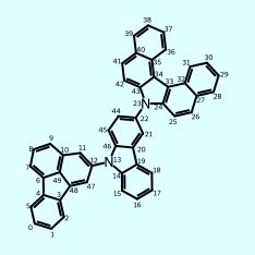 c1ccc2c(c1)-c1cccc3cc(-n4c5ccccc5c5cc(-n6c7ccc8ccccc8c7c7c8ccccc8ccc76)ccc54)cc-2c13